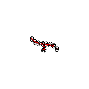 C=CC(=O)OCCCCOC(=O)c1ccc(OC(=O)C2CCC(C(=O)Oc3ccc(OC(=O)C4CCC(C(=O)Oc5ccc(C(=O)OCCCCOC(=O)C=C)cc5)CC4)c4sc(-c5ccc([N+](=O)[O-])cc5)nc34)CC2)cc1